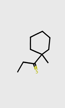 CCC(=S)C1(C)CCCCC1